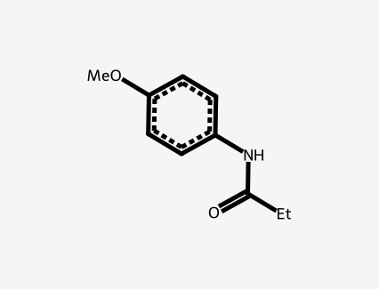 CCC(=O)Nc1ccc(OC)cc1